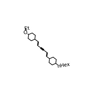 CCCCCCC1CCC(C=CC#CC=CC2CCC(OCC)CC2)CC1